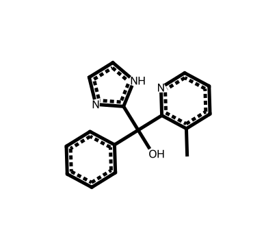 Cc1cccnc1C(O)(c1ccccc1)c1ncc[nH]1